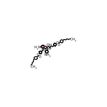 CCCCCCC1CCC(C(=O)Oc2ccc(/C=C/C(=O)C(O)C(Cc3ccc(N)cc3)(Cc3ccc(N)cc3)C(O)C(=O)/C=C/c3ccc(OC(=O)C4CCC(CCCCCC)CC4)cc3)cc2)CC1